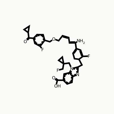 N/C(=C\C=C/COCc1ccc(C(=O)C2CC2)cc1F)C1=CCC(Cc2nc3ccc(C(=O)O)cc3n2CC2(CF)CC2)C(F)=C1